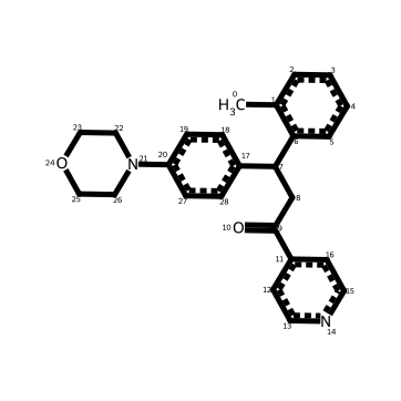 Cc1ccccc1C(CC(=O)c1ccncc1)c1ccc(N2CCOCC2)cc1